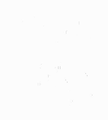 O=c1[nH]c2cc(C(F)(F)F)c(OCc3ccccc3)cc2n(CP(=O)(O)O)c1=O